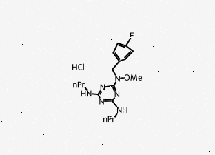 CCCNc1nc(NCCC)nc(N(Cc2ccc(F)cc2)OC)n1.Cl